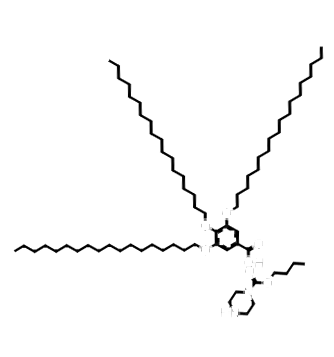 CCCCCCCCCCCCCCCCCCOc1cc(C(=O)O)cc(OCCCCCCCCCCCCCCCCCC)c1OCCCCCCCCCCCCCCCCCC.CCCCOC(=O)N1CCNCC1